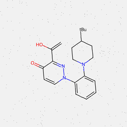 C=C(O)c1nn(-c2ccccc2N2CCC(C(C)(C)C)CC2)ccc1=O